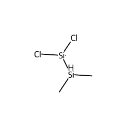 C[SiH](C)[Si](Cl)Cl